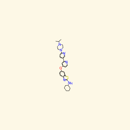 CC(C)N1CCN(c2ccc(-c3cc(Oc4ccc5nc(NC6CCCCC6)sc5c4)ccn3)cn2)CC1